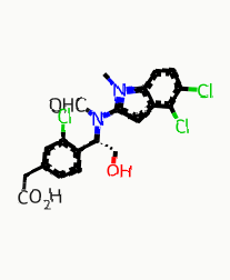 Cn1c(N(C=O)[C@H](CO)c2ccc(CC(=O)O)cc2Cl)cc2c(Cl)c(Cl)ccc21